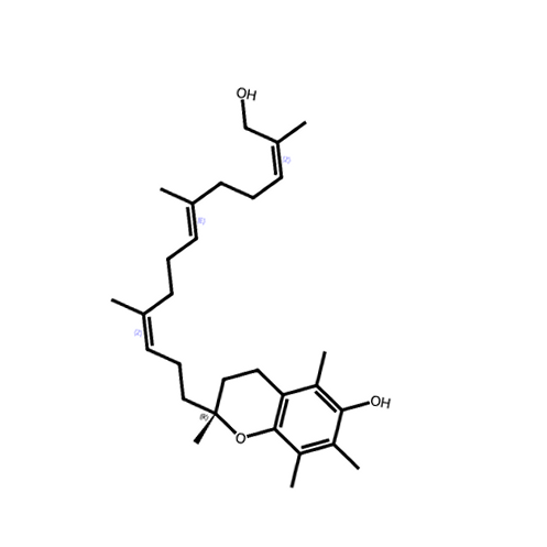 C/C(=C/CC/C(C)=C/CC/C(C)=C\CC[C@]1(C)CCc2c(C)c(O)c(C)c(C)c2O1)CO